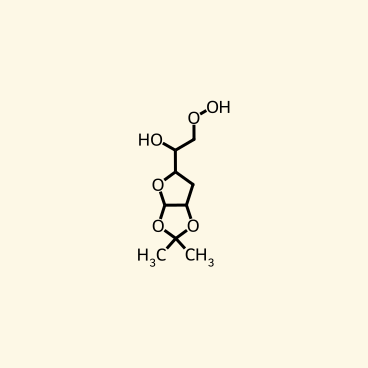 CC1(C)OC2CC(C(O)COO)OC2O1